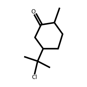 CC1CCC(C(C)(C)Cl)CC1=O